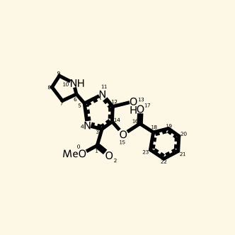 COC(=O)c1nc(C2CCCN2)nc(O)c1OC(=O)c1ccccc1